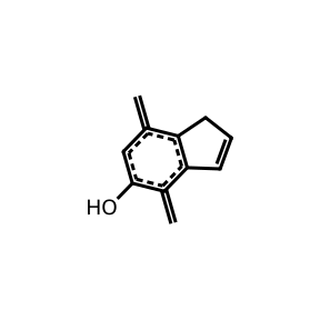 C=c1cc(O)c(=C)c2c1CC=C2